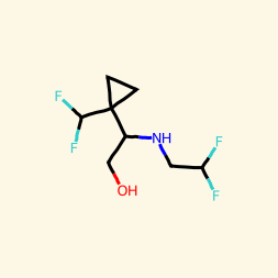 OCC(NCC(F)F)C1(C(F)F)CC1